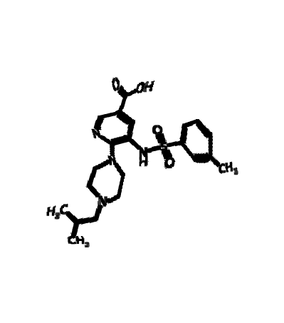 Cc1cccc(S(=O)(=O)Nc2cc(C(=O)O)cnc2N2CCN(CC(C)C)CC2)c1